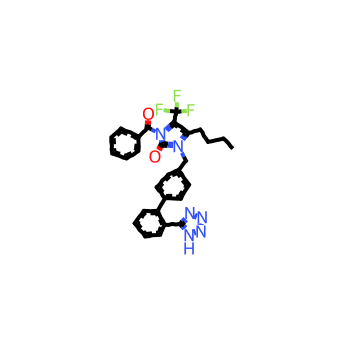 CCCCc1c(C(F)(F)F)n(C(=O)c2ccccc2)c(=O)n1Cc1ccc(-c2ccccc2-c2nnn[nH]2)cc1